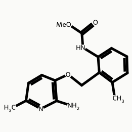 COC(=O)Nc1cccc(C)c1COc1ccc(C)nc1N